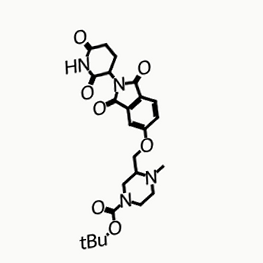 CN1CCN(C(=O)OC(C)(C)C)CC1COc1ccc2c(c1)C(=O)N(C1CCC(=O)NC1=O)C2=O